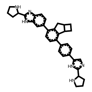 c1cc(-c2ccc(-c3ccc4nc(C5CCCN5)[nH]c4c3)c3c2C2CCC2C3)ccc1-c1cnc(C2CCCN2)[nH]1